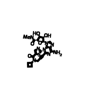 CNC(=O)[C@H]1O[C@@H](n2cnc3c(N)nc(C#CCN(C(=O)c4cncs4)C4CCC4)nc32)[C@H](O)[C@@H]1O